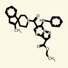 CCOC(=O)c1cnn2c(Nc3ccccc3)c(C(=O)N3CCC4(CC3)C(C)=Cc3ccccc34)cnc12